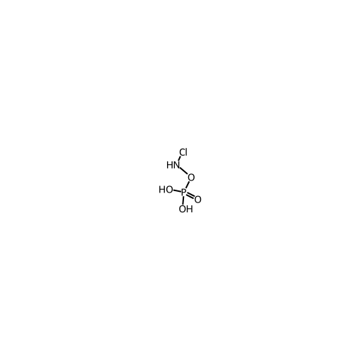 O=P(O)(O)ONCl